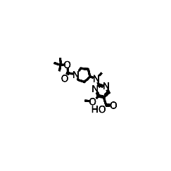 COc1nc(N(C)C2CCN(C(=O)OC(C)(C)C)CC2)ncc1C(=O)O